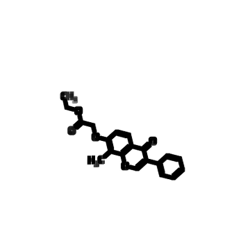 CCOC(=O)COc1ccc2c(=O)c(-c3ccccc3)coc2c1C